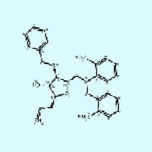 C=CC[C@@H]1O[C@H](C[C@H](Cc2ccccc2C(=O)O)c2ccccc2C(=O)O)[C@H](OCc2ccccc2)[C@H]1O